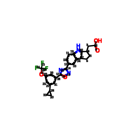 O=C(O)CC1CCc2c1[nH]c1ccc(-c3noc(-c4cc(OC(F)(F)F)cc(C5CC5)c4)n3)cc21